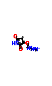 [N-]=[N+]=[N+]OC1CC(=O)NC1=O